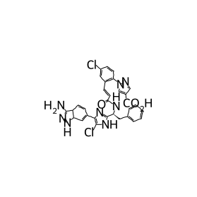 NC1=NNC2C=C(c3nc([C@H](Cc4ccccc4)NC(=O)/C=C/c4cc(Cl)ccc4-n4cc(C(=O)O)cn4)[nH]c3Cl)C=CC12